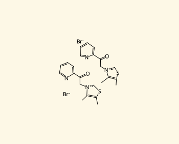 Cc1sc[n+](CC(=O)c2ccccn2)c1C.Cc1sc[n+](CC(=O)c2ccccn2)c1C.[Br-].[Br-]